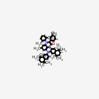 Cc1cccc(C)c1N1C2=CC(C)CC3=C2B(c2cc4c(cc2N3c2ccc3c(c2)C(C)(C)CCC3(C)C)C(C)(C)CCC4(C)C)c2oc3ccc(C(C)(C)C)cc3c21